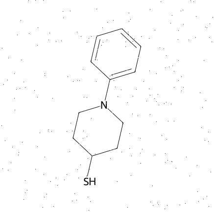 SC1CCN(c2ccccc2)CC1